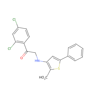 O=C(CNc1cc(-c2ccccc2)sc1C(=O)O)c1ccc(Cl)cc1Cl